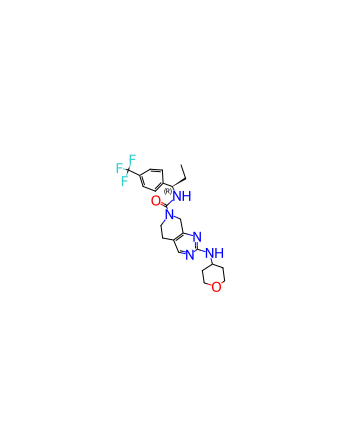 CC[C@@H](NC(=O)N1CCc2cnc(NC3CCOCC3)nc2C1)c1ccc(C(F)(F)F)cc1